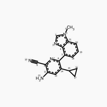 Cn1cnc2c(-c3nc(C#N)c(N)cc3C3CC3)cccc21